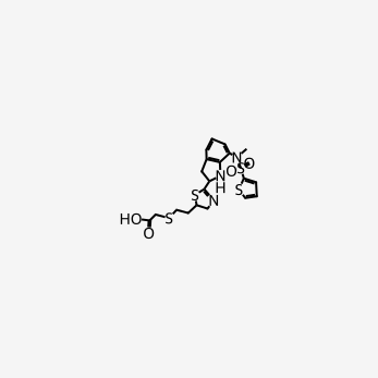 CN(c1cccc2c1NC(C1=NCC(CCSCC(=O)O)S1)C2)S(=O)(=O)c1cccs1